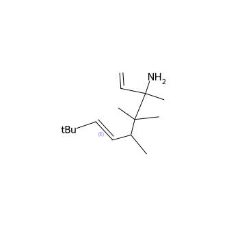 C=CC(C)(N)C(C)(C)C(C)/C=C/C(C)(C)C